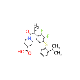 C=C(C(=O)N1CCC(C(=O)O)CC1)c1ccc(Sc2ccccc2C(C)C)c(F)c1F